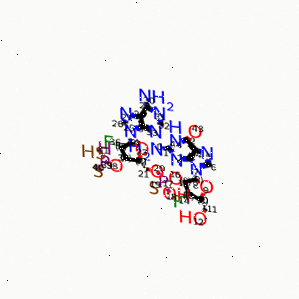 Nc1nc2c(ncn2[C@@H]2O[C@H](CO)[C@@H](F)[C@H]2OP(O)(=S)OC[C@H]2O[C@@H](n3cnc4c(N)ncnc43)[C@@H](F)[C@@H]2O[PH](=S)S)c(=O)[nH]1